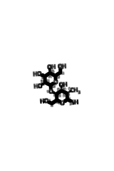 C[C@@H]1C(S)OC(CO)[C@@H](OC2OC(CO)[C@H](O)C(O)[C@@H]2O)[C@@H]1O